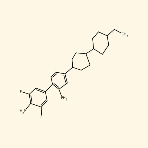 CCC1CCC(C2CCC(c3ccc(-c4cc(F)c(P)c(F)c4)c(P)c3)CC2)CC1